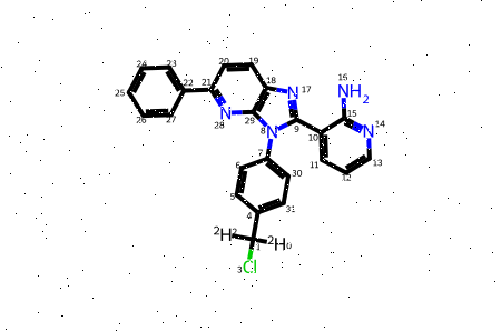 [2H]C([2H])(Cl)c1ccc(-n2c(-c3cccnc3N)nc3ccc(-c4ccccc4)nc32)cc1